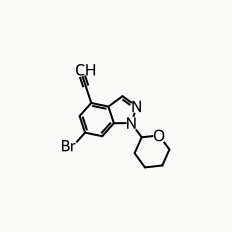 C#Cc1cc(Br)cc2c1cnn2C1CCCCO1